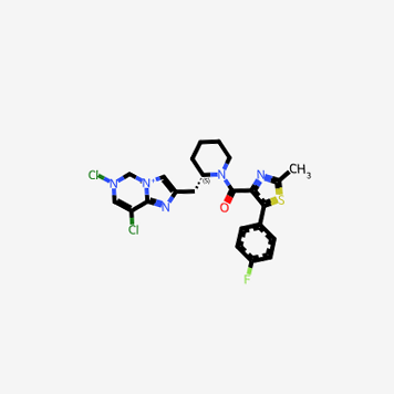 Cc1nc(C(=O)N2CCCC[C@H]2CC2=C[N+]3CN(Cl)C=C(Cl)C3=N2)c(-c2ccc(F)cc2)s1